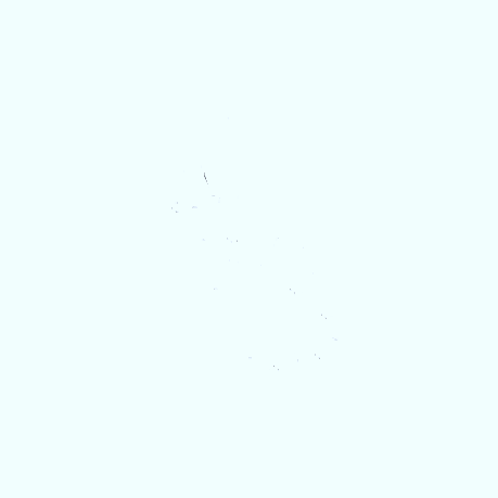 CCOC(=O)[C@H]1CCN(C(=O)C2=CN(c3ncnc4[nH]ccc34)CCS2)C[C@@H]1N